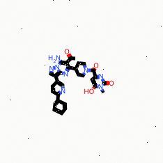 CC(=O)c1c(C2CCN(C(=O)c3cc(O)n(C)c(=O)n3)CC2)nc2c(-c3ccc(-c4ccccc4)nc3)cnn2c1N